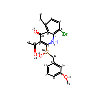 CCc1ccc(Br)c2[nH]c([S+]([O-])Cc3cccc(OC)c3)c(C(C)=O)c(=O)c12